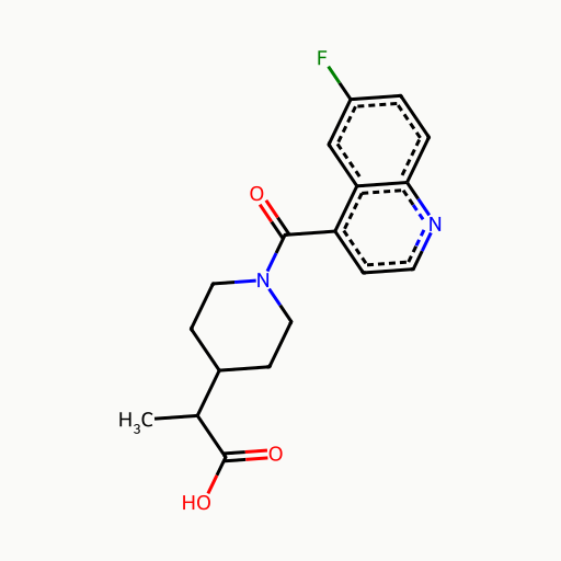 CC(C(=O)O)C1CCN(C(=O)c2ccnc3ccc(F)cc23)CC1